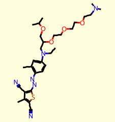 CCN(CC(COC(C)C)OCCOCCOCCN(C)C)c1ccc(/N=N/c2sc(C#N)c(C)c2C#N)c(C)c1